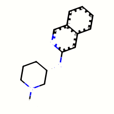 O=C(O)N1CCC[C@H](Nc2cc3ccccc3cn2)C1